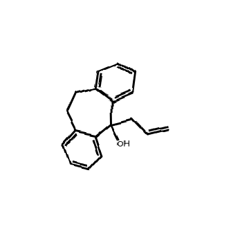 C=CCC1(O)c2ccccc2CCc2ccccc21